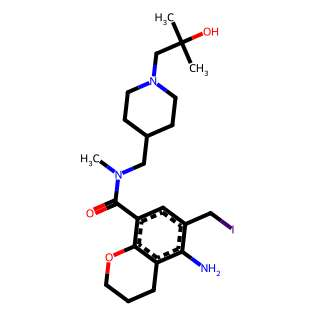 CN(CC1CCN(CC(C)(C)O)CC1)C(=O)c1cc(CI)c(N)c2c1OCCC2